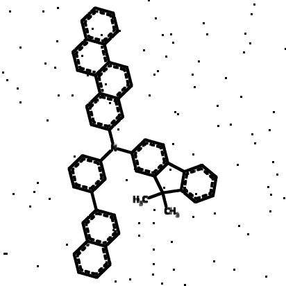 CC1(C)c2ccccc2-c2ccc(N(c3cccc(-c4ccc5ccccc5c4)c3)c3ccc4c(ccc5c6ccccc6ccc45)c3)cc21